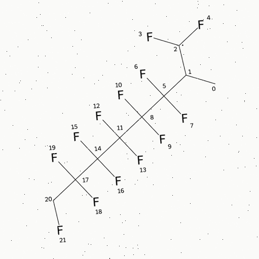 CC([C](F)F)C(F)(F)C(F)(F)C(F)(F)C(F)(F)C(F)(F)CF